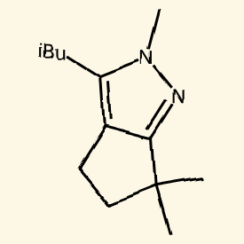 CCC(C)c1c2c(nn1C)C(C)(C)CC2